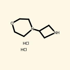 C1CN(C2CNC2)CCO1.Cl.Cl